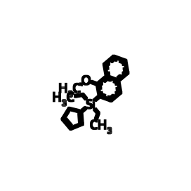 CC[Si](CC)(C1=CC=CC1)c1ccc2ccccc2c1OC